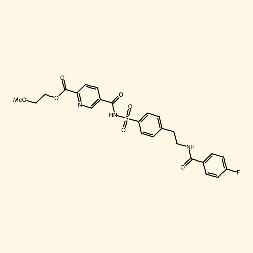 COCCOC(=O)c1ccc(C(=O)NS(=O)(=O)c2ccc(CCNC(=O)c3ccc(F)cc3)cc2)cn1